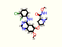 CONC(=O)[C@@H]1C[C@H](Oc2cc3c(Nc4cccc(Cl)c4F)ncnc3cc2OC)CN1C